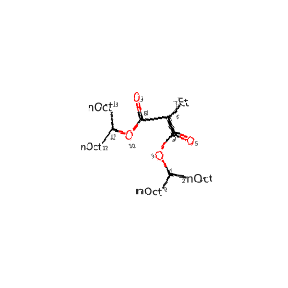 CCCCCCCCC(CCCCCCCC)OC(=O)C(CC)C(=O)OC(CCCCCCCC)CCCCCCCC